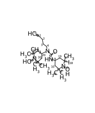 C#CCCCN(C(=O)NC1CC(C)(C)N(O)C(C)(I)C1)C1CC(C)(C)N(O)C(C)(C)C1